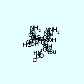 CC(C)(C)OC(=O)N[C@@H](CCCCNC(=O)OCc1ccccc1)C(=O)O[C@@H]1[C@@H](COP(=O)(O)O[C@H]2CC(n3ccc(N)nc3=O)O[C@@H]2COP(=O)(O)O)OC(n2cnc3c(N)ncnc32)[C@@H]1O